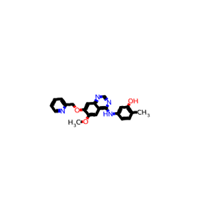 COc1cc2c(Nc3ccc(C)c(O)c3)ncnc2cc1OCc1ccccn1